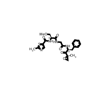 COC[C@H](NC(=O)c1cnc(C)s1)C(=O)NCC(=O)N[C@@H](Cc1ccccc1)C(=O)[C@@]1(C)CO1